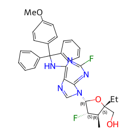 CC[C@]1(CO)O[C@@H](n2cnc3c(NC(c4ccccc4)(c4ccccc4)c4ccc(OC)cc4)nc(F)nc32)[C@@H](F)[C@@H]1C